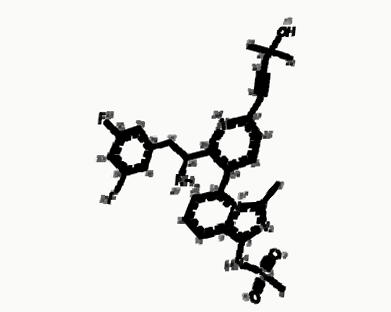 Cc1nc(NS(C)(=O)=O)c2cccc(-c3ccc(C#CC(C)(C)O)nc3[C@@H](N)Cc3cc(F)cc(F)c3)n12